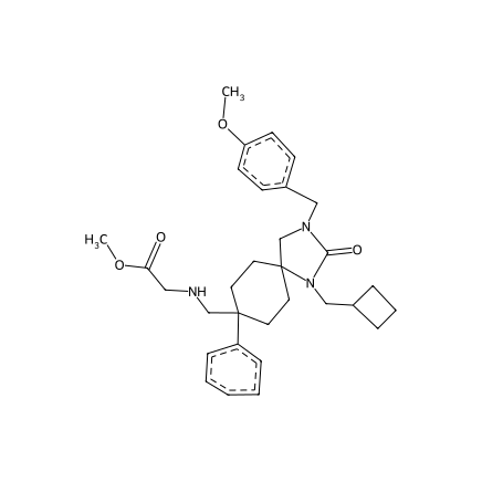 COC(=O)CNCC1(c2ccccc2)CCC2(CC1)CN(Cc1ccc(OC)cc1)C(=O)N2CC1CCC1